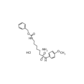 COc1ccc(NS(=O)(=O)C[C@@H](N)CCCCNC(=O)OCc2ccccc2)cc1.Cl